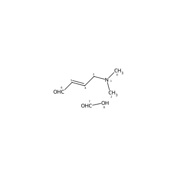 CN(C)CC=CC=O.O=CO